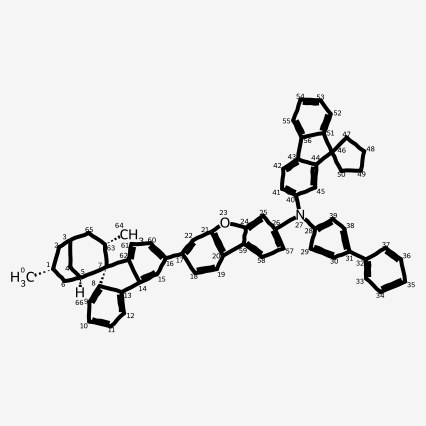 C[C@@H]1CC2C[C@H](C1)[C@@]1(c3ccccc3-c3cc(-c4ccc5c(c4)oc4cc(N(c6ccc(-c7ccccc7)cc6)c6ccc7c(c6)C6(CCCC6)c6ccccc6-7)ccc45)ccc31)[C@@H](C)C2